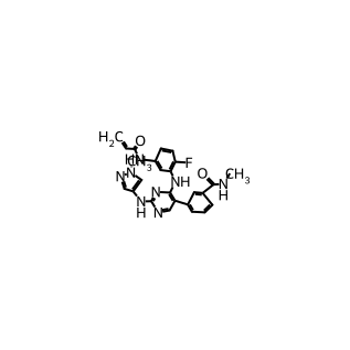 C=CC(=O)Nc1ccc(F)c(Nc2nc(Nc3cnn(C)c3)ncc2-c2cccc(C(=O)NC)c2)c1